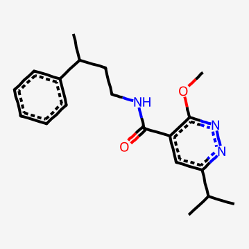 COc1nnc(C(C)C)cc1C(=O)NCCC(C)c1ccccc1